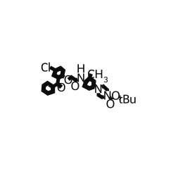 Cc1cc(N2CCN(C(=O)OC(C)(C)C)CC2)ccc1NC(=O)COc1ccc(Cl)cc1C(=O)c1ccccc1